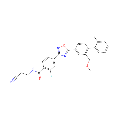 COCc1cc(-c2nc(-c3ccc(C(=O)NCCC#N)c(F)c3)no2)ccc1-c1ccccc1C